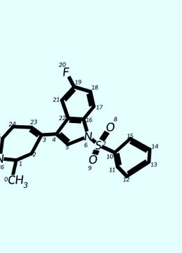 CC1CC(c2cn(S(=O)(=O)c3ccccc3)c3ccc(F)cc23)=CCCN1